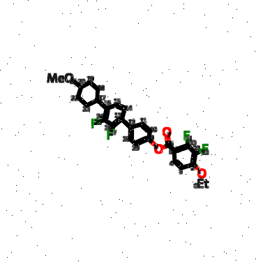 CCOc1ccc(C(=O)Oc2ccc(-c3ccc(C4CCC(OC)CC4)c(F)c3F)cc2)c(F)c1F